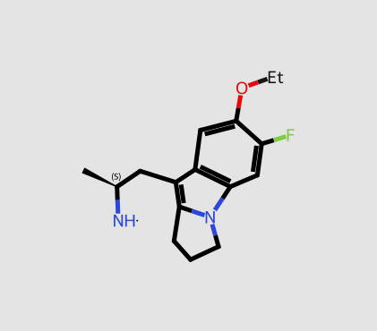 CCOc1cc2c(C[C@H](C)[NH])c3n(c2cc1F)CCC3